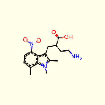 Cc1ccc([N+](=O)[O-])c2c(CC(CCN)C(=O)O)c(C)n(C)c12